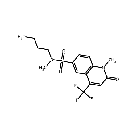 CCCCN(C)S(=O)(=O)c1ccc2c(c1)c(C(F)(F)F)cc(=O)n2C